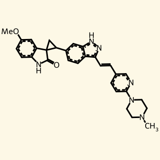 COc1ccc2c(c1)C1(CC1c1ccc3c(/C=C/c4ccc(N5CCN(C)CC5)nc4)n[nH]c3c1)C(=O)N2